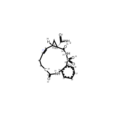 NC(=O)[C@@]12C[C@H]1/C=C\CCCC(=O)Nc1ccccc1S(=O)(=O)NC2=O